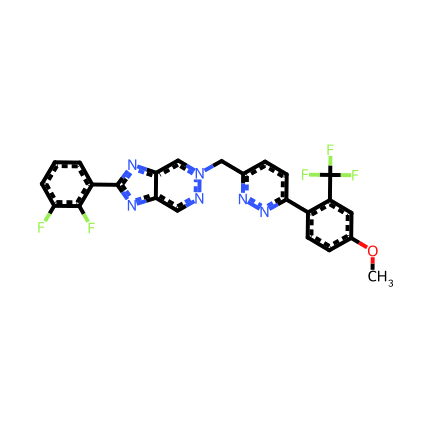 COc1ccc(-c2ccc(Cn3cc4nc(-c5cccc(F)c5F)nc-4cn3)nn2)c(C(F)(F)F)c1